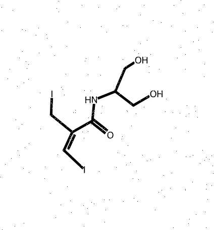 O=C(NC(CO)CO)/C(=C\I)CI